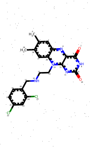 Cc1cc2nc3c(=O)[nH]c(=O)nc-3n(CCNCc3ccc(Cl)cc3Cl)c2cc1C